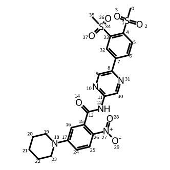 CS(=O)(=O)c1ccc(-c2cnc(NC(=O)c3cc(N4CCCCC4)ccc3[N+](=O)[O-])cn2)cc1S(C)(=O)=O